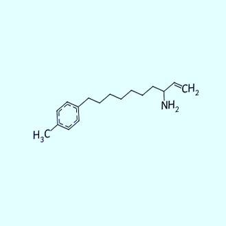 C=CC(N)CCCCCCCc1ccc(C)cc1